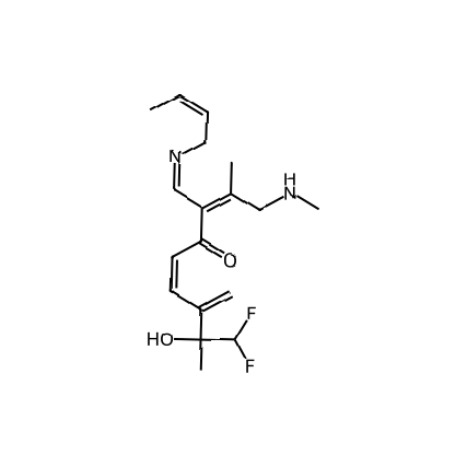 C=C(/C=C\C(=O)C(/C=N\C/C=C\C)=C(/C)CNC)C(C)(O)C(F)F